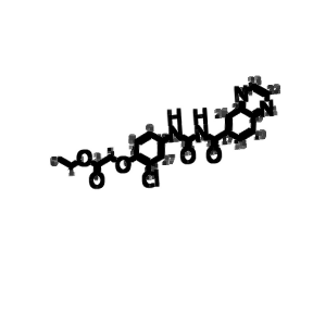 CCOC(=O)COc1ccc(NC(=O)NC(=O)c2ccc3nccnc3c2)cc1Cl